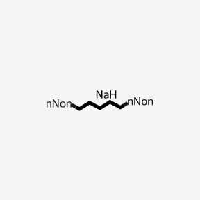 CCCCCCCCCCCCCCCCCCCCCCC.[NaH]